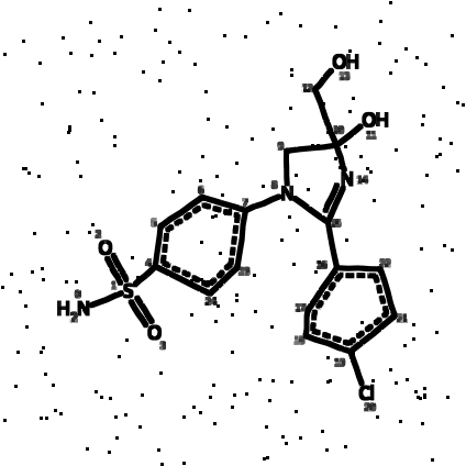 NS(=O)(=O)c1ccc(N2CC(O)(CO)N=C2c2ccc(Cl)cc2)cc1